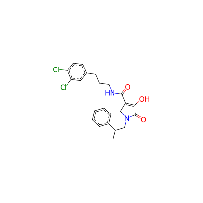 CC(CN1CC(C(=O)NCCCc2ccc(Cl)c(Cl)c2)=C(O)C1=O)c1ccccc1